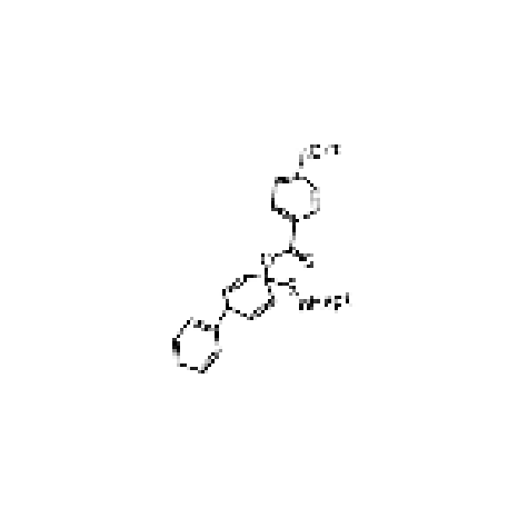 CCCCCCCCc1ccc(C(=S)OC2(SCCCCCCC)C=CC(c3ccccc3)C=C2)cc1